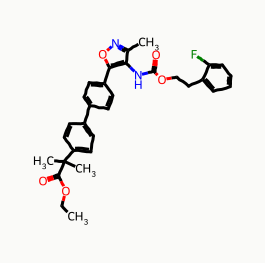 CCOC(=O)C(C)(C)c1ccc(-c2ccc(-c3onc(C)c3NC(=O)OCCc3ccccc3F)cc2)cc1